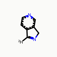 [2H]C1=NCc2cnccc21